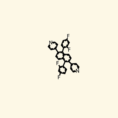 Fc1ccc(-c2c(-c3ccncc3)ccc3c(-c4ccc(F)cc4F)c(-c4ccncc4)ccc23)c(F)c1